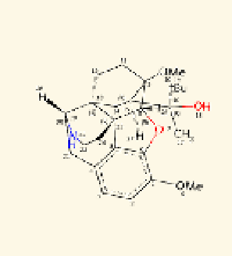 COc1ccc2c3c1O[C@H]1C4(OC)CC[C@@]5(C[C@@H]4[C@](C)(O)C(C)(C)C)[C@@H](C2)NCC[C@]315